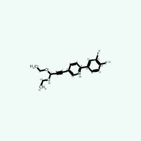 CCOC(C#Cc1ccc(-c2ccc(F)c(F)c2)nc1)OCC